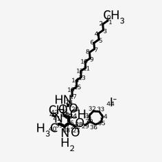 CCCCCCCCCCCCCCCCCCNC(=O)Oc1c(C)c(C(=O)OCC2CCCCCC2)c(N)c(C)[n+]1CC.[I-]